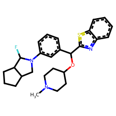 CN1CCC(OC(c2cccc(N3CC4CCCC4C3F)c2)c2nc3ccccc3s2)CC1